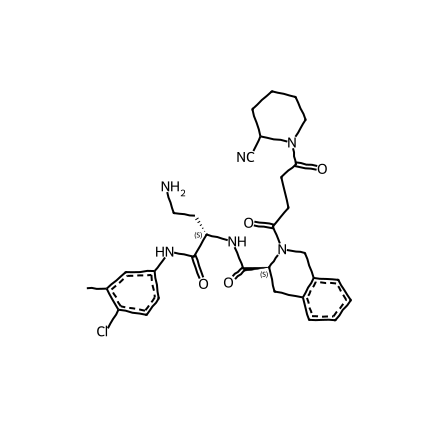 Cc1cc(NC(=O)[C@H](CCN)NC(=O)[C@@H]2Cc3ccccc3CN2C(=O)CCC(=O)N2CCCCC2C#N)ccc1Cl